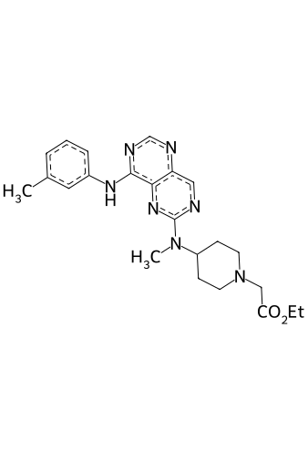 CCOC(=O)CN1CCC(N(C)c2ncc3ncnc(Nc4cccc(C)c4)c3n2)CC1